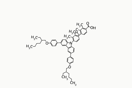 CCCCC(CC)COc1ccc(-c2ccc3c(c2)c2cc(-c4ccc(OCC(CC)CCCC)cc4)ccc2n3-c2ccc(-c3ccc(C(=O)O)c(C)c3C)c(C)c2C)cc1